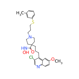 COc1ccc2ncc(Cl)c(CCCC3(C(=O)NO)CCN(CCCSc4cccc(C)c4)CC3)c2c1